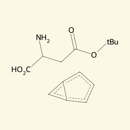 CC(C)(C)OC(=O)CC(N)C(=O)O.c1cc2cc-2c1